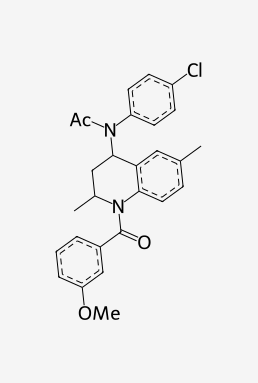 COc1cccc(C(=O)N2c3ccc(C)cc3C(N(C(C)=O)c3ccc(Cl)cc3)CC2C)c1